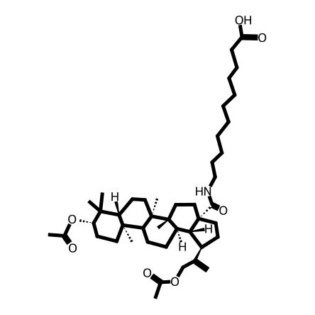 C=C(COC(C)=O)[C@@H]1CC[C@]2(C(=O)NCCCCCCCCCCC(=O)O)CC[C@]3(C)[C@H](CCC4[C@@]5(C)CC[C@H](OC(C)=O)C(C)(C)[C@@H]5CC[C@]43C)[C@@H]12